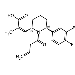 C=CCC(=O)N1[C@@H](C=C(C)C(=O)O)CCC[C@H]1c1ccc(F)c(F)c1